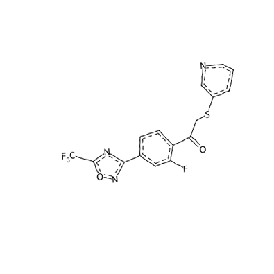 O=C(CSc1cccnc1)c1ccc(-c2noc(C(F)(F)F)n2)cc1F